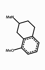 CNC1CCc2cccc(OC)c2C1